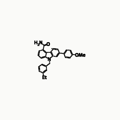 CCc1cccc(Cn2c3cc(-c4ccc(OC)cc4)c[c]c3c3c(C(N)=O)cccc32)c1